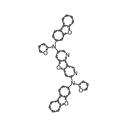 c1coc(N(c2ccc3c(c2)oc2ccccc23)c2cnc3c(c2)oc2cc(N(c4ccc5c(c4)oc4ccccc45)c4ccco4)ncc23)c1